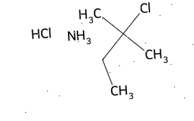 CCC(C)(C)Cl.Cl.N